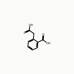 O=C(O)c1ccccc1CC(O)=S